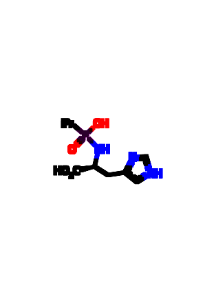 CC(C)P(=O)(O)N[C@@H](Cc1c[nH]cn1)C(=O)O